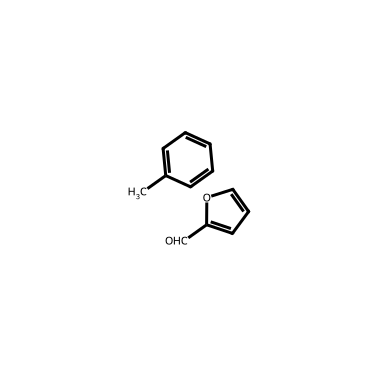 Cc1ccccc1.O=Cc1ccco1